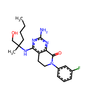 CCCCC(C)(CO)Nc1nc(N)nc2c1CCN(c1cccc(F)c1)C2=O